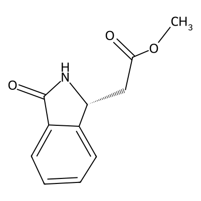 COC(=O)C[C@H]1NC(=O)c2ccccc21